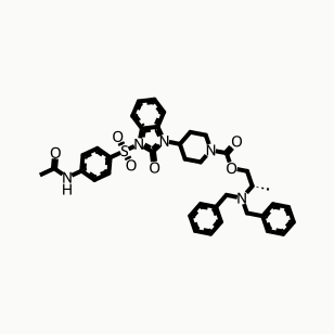 CC(=O)Nc1ccc(S(=O)(=O)n2c(=O)n(C3CCN(C(=O)OC[C@H](C)N(Cc4ccccc4)Cc4ccccc4)CC3)c3ccccc32)cc1